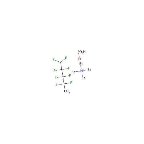 CC(F)(F)C(F)(F)C(F)(F)C(F)F.CC[N+](CC)(CC)CC.O=S(=O)([O-])O